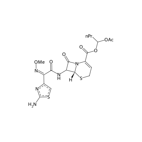 CCCC(OC(C)=O)OC(=O)C1=CCS[C@@H]2C(NC(=O)/C(=N\OC)c3csc(N)n3)C(=O)N12